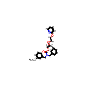 COc1cccc(CN(Cc2cccc(OC)c2)C(=O)OCCOCCOc2ccccn2)c1